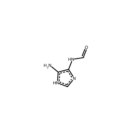 Nc1[nH]cnc1N[C]=O